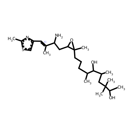 C/C(=C\c1csc(C)n1)C(N)CC1OC1(C)CCCC(C)C(O)C(C)CC(C)(C)C(C)O